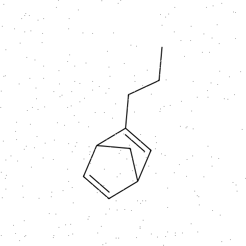 CCCC1=CC2C=CC1C2